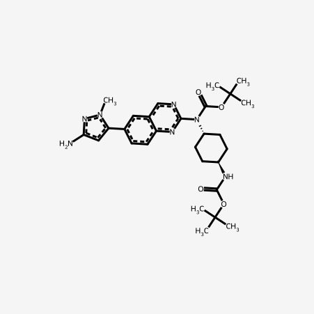 Cn1nc(N)cc1-c1ccc2nc(N(C(=O)OC(C)(C)C)[C@H]3CC[C@H](NC(=O)OC(C)(C)C)CC3)ncc2c1